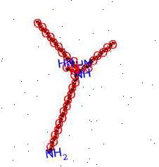 COCCOCCOCCOCCOCCNC(=O)CCOCC(COCCC=O)(COCCC(=O)NCCOCCOCCOCCOCCOCCOCCOCCOC)NC(=O)CCOCCOCCOCCOCCOCCOCCOCCOCCOCCOCCOCCOCCN